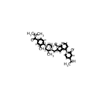 CNc1ccn(-c2ccnc3c2cc(CN2CCN(c4ccc(C(=O)N(C)C)cc4C)C[C@H]2C)n3C)c(=O)c1